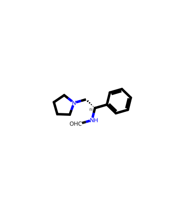 O=CN[C@H](CN1CCCC1)c1ccccc1